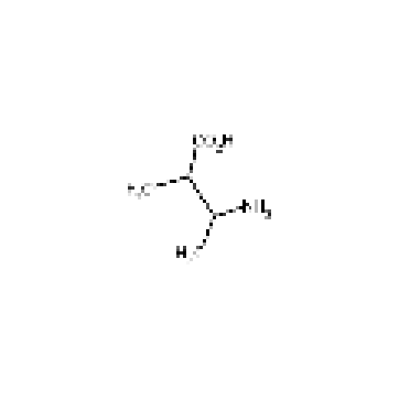 CC(N)C(C(=O)O)C(F)(F)F